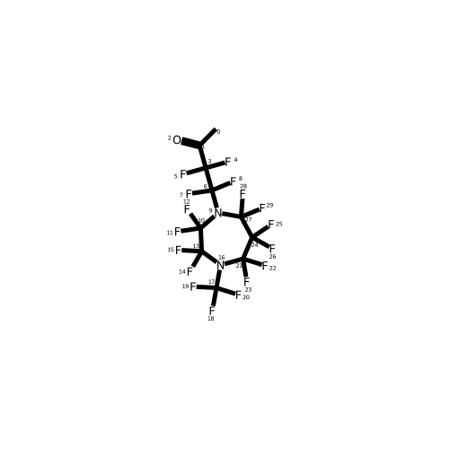 CC(=O)C(F)(F)C(F)(F)N1C(F)(F)C(F)(F)N(C(F)(F)F)C(F)(F)C(F)(F)C1(F)F